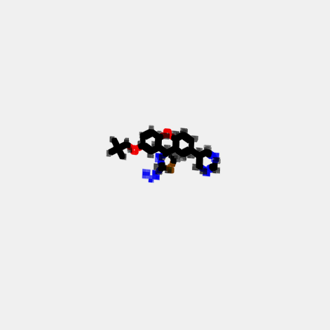 CC(C)(C)COc1ccc2c(c1)[C@@]1(CSC(N)=N1)c1cc(-c3cncnc3)ccc1O2